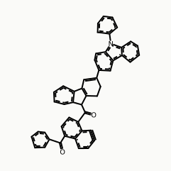 O=C(c1ccccc1)c1ccc(C(=O)C2C3=C(C=C(c4ccc5c(c4)c4ccccc4n5-c4ccccc4)CC3)c3ccccc32)c2c#cccc12